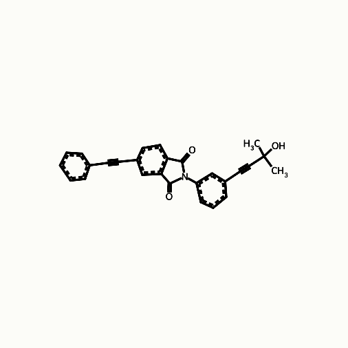 CC(C)(O)C#Cc1cccc(N2C(=O)c3ccc(C#Cc4ccccc4)cc3C2=O)c1